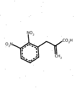 C=C(Cc1cccc([N+](=O)[O-])c1[N+](=O)[O-])C(=O)O